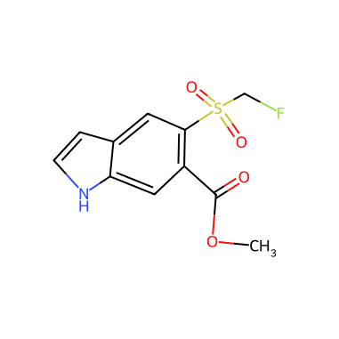 COC(=O)c1cc2[nH]ccc2cc1S(=O)(=O)CF